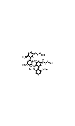 COc1cccc(OC)c1-c1cc(NCCO)ccc1N.Nc1ccc(O)cc1-c1cc(NCCO)ccc1N